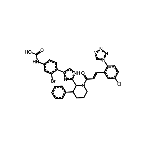 O=C(O)Nc1ccc(-c2c[nH]c(C3C(c4ccccc4)CCCN3C(=O)C=Cc3cc(Cl)ccc3-n3cnnn3)n2)c(Br)c1